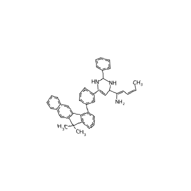 C/C=C\C=C(/N)C1C=C(c2cccc(-c3cccc4c3-c3cc5ccccc5cc3C4(C)C)c2)NC(c2ccccc2)N1